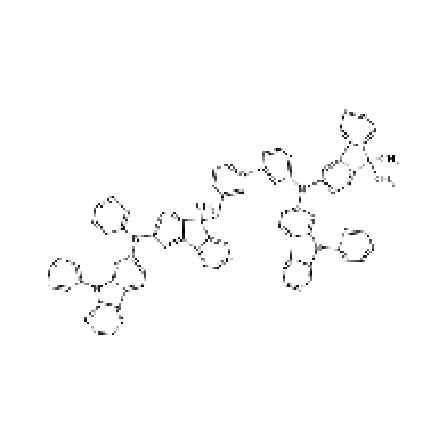 CC1(C)c2ccccc2-c2cc(N(c3cccc(-c4cccc(CC5(C)c6ccccc6-c6cc(N(c7ccccc7)c7ccc8c9ccccc9n(-c9ccccc9)c8c7)ccc65)c4)c3)c3ccc4c5ccccc5n(-c5ccccc5)c4c3)ccc21